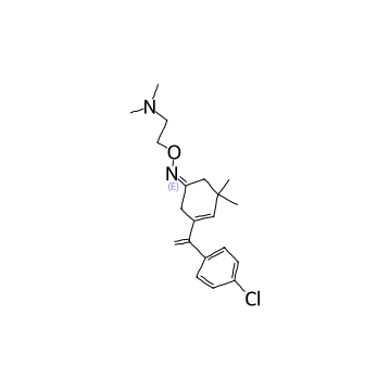 C=C(C1=CC(C)(C)C/C(=N\OCCN(C)C)C1)c1ccc(Cl)cc1